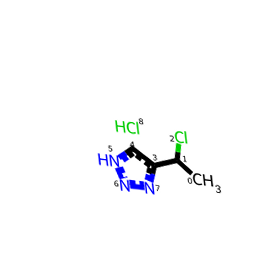 CC(Cl)c1c[nH]nn1.Cl